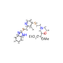 CCOC(=O)C(OC)C1CN(CCSc2ccnc(CSc3nc4ccccc4[nH]3)c2C)CCO1